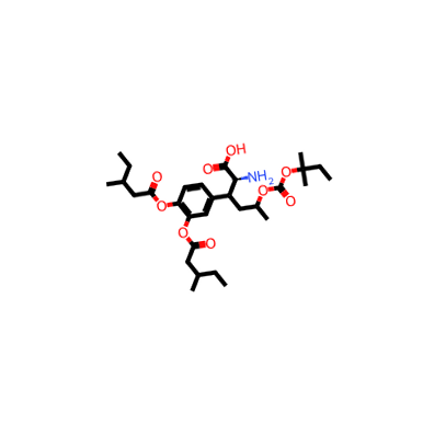 CCC(C)CC(=O)Oc1ccc(C(CC(C)OC(=O)OC(C)(C)CC)[C@H](N)C(=O)O)cc1OC(=O)CC(C)CC